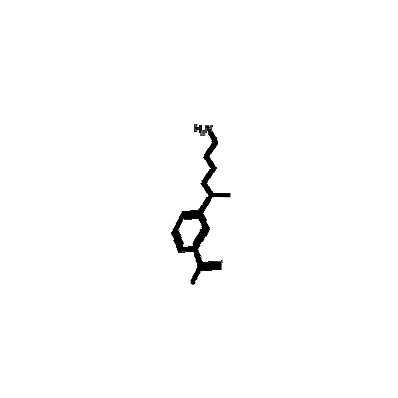 C=C(C)c1cccc(C(C)CCCCN)c1